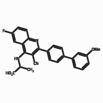 COc1cccc(-c2ccc(-c3nc4ccc(F)cc4c(NC(C)C(=O)O)c3C#N)cc2)c1